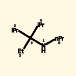 CCCNC(CC)(C(C)C)C(C)C